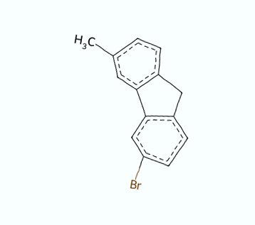 Cc1ccc2c(c1)-c1cc(Br)ccc1C2